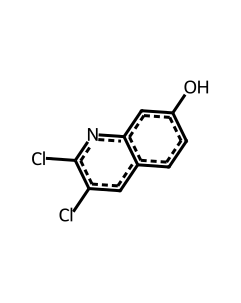 Oc1ccc2cc(Cl)c(Cl)nc2c1